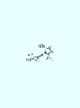 Cc1nsc(N)c1C#C[Si](C)(C)C